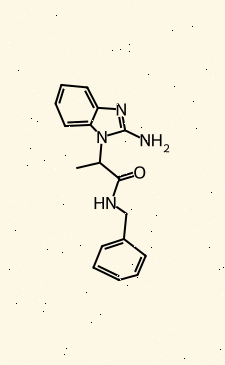 CC(C(=O)NCc1ccccc1)n1c(N)nc2ccccc21